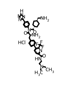 CCN(CC)CCNC(=O)c1ccc(-c2ccc(C[C@H](N)C(=O)N(c3ccc(-c4nn[nH]n4)cc3)C(=O)[C@H]3CC[C@H](CN)CC3)cc2)c(C(F)(F)F)n1.Cl